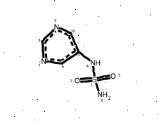 NS(=O)(=O)Nc1cncnc1